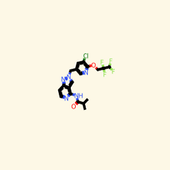 CC(C)C(=O)Nc1nccc2nn(Cc3cnc(OCC(F)(F)C(F)F)c(Cl)c3)cc12